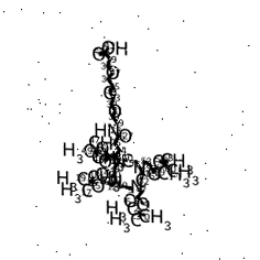 CC(C)(C)OC(=O)CN1CCN(CC(=O)OC(C)(C)C)CCN(C(CCC(=O)NCCOCCOCCOCCC(=O)O)C(=O)OC(C)(C)C)CCN(CC(=O)OC(C)(C)C)CC1